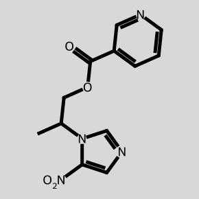 CC(COC(=O)c1cccnc1)n1cncc1[N+](=O)[O-]